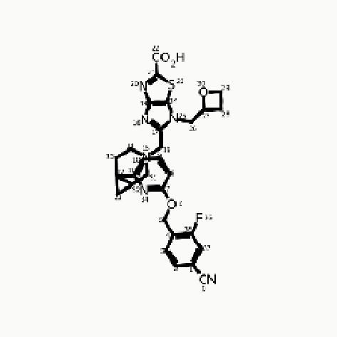 N#Cc1ccc(COc2cccc(C34CCN(Cc5nc6nc(C(=O)O)sc6n5CC5CCO5)CC3C4)n2)c(F)c1